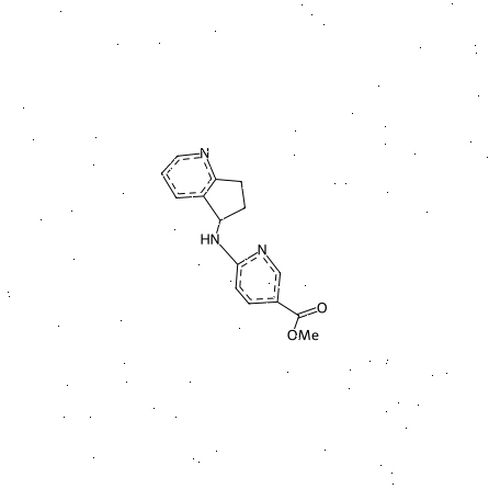 COC(=O)c1ccc(NC2CCc3ncccc32)nc1